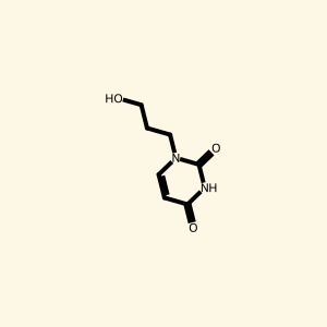 O=c1ccn(CCCO)c(=O)[nH]1